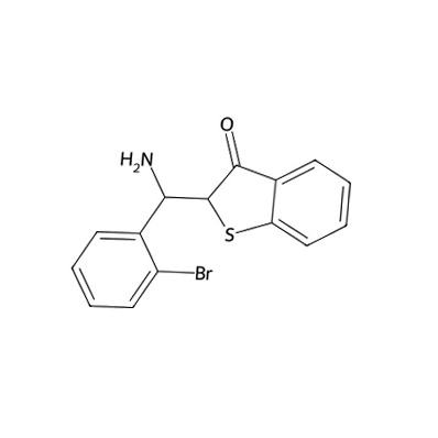 NC(c1ccccc1Br)C1Sc2ccccc2C1=O